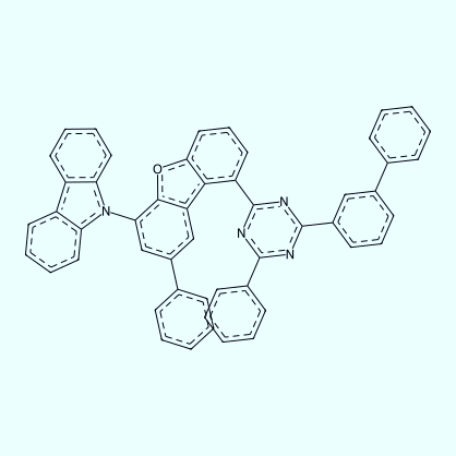 c1ccc(-c2cccc(-c3nc(-c4ccccc4)nc(-c4cccc5oc6c(-n7c8ccccc8c8ccccc87)cc(-c7ccccc7)cc6c45)n3)c2)cc1